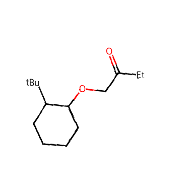 CCC(=O)COC1CCCCC1C(C)(C)C